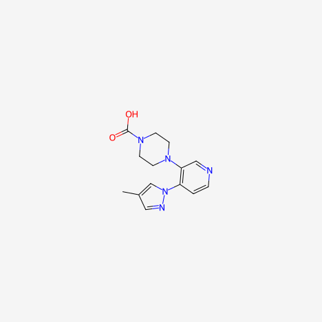 Cc1cnn(-c2ccncc2N2CCN(C(=O)O)CC2)c1